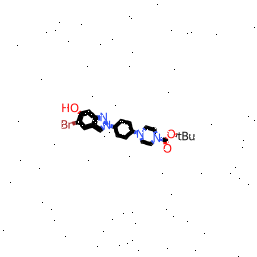 CC(C)(C)OC(=O)N1CCN(C2CCC(n3cc4cc(Br)c(O)cc4n3)CC2)CC1